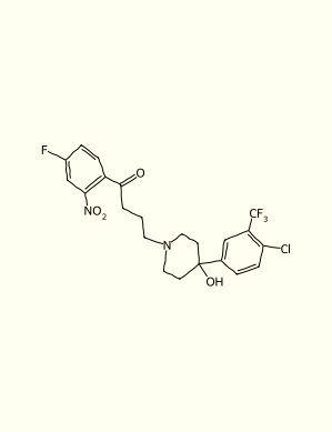 O=C(CCCN1CCC(O)(c2ccc(Cl)c(C(F)(F)F)c2)CC1)c1ccc(F)cc1[N+](=O)[O-]